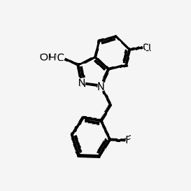 O=Cc1nn(Cc2ccccc2F)c2cc(Cl)ccc12